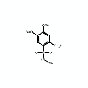 COc1cc(C(=O)O)c(S(=O)(=O)NC(C)(C)C)cc1OC